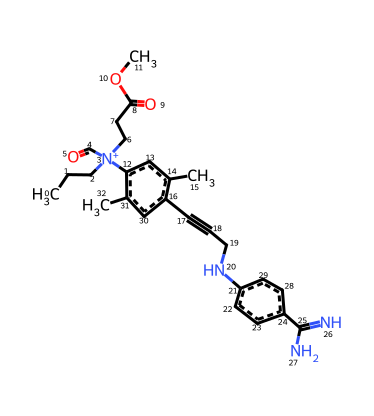 CCC[N+](C=O)(CCC(=O)OC)c1cc(C)c(C#CCNc2ccc(C(=N)N)cc2)cc1C